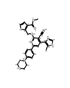 COC(=O)c1ccsc1COc1nc(-c2ccc(N3CCOCC3)cc2)cc(-c2ncoc2C)c1C#N